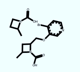 CC1CC(COc2cnccc2Br)N1C(=O)O.CC1CCN1C(=O)O